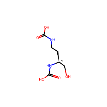 O=C(O)NCC[C@@H](CO)NC(=O)O